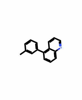 Cc1cccc(-c2cccc3ncccc23)c1